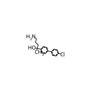 CC(O)(CCCN)c1ccc(-c2ccc(Cl)cc2)cc1